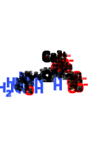 Nc1nc(=O)c2nc(CNc3ccc(C(=O)N[C@@H](CCC(=O)OP(=O)([O-])[O-])C(=O)OP(=O)([O-])[O-])cc3)cnc2[nH]1.[Ca+2].[Ca+2]